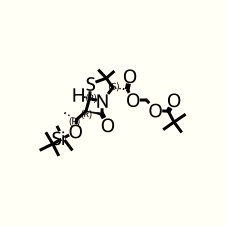 C[C@@H](O[Si](C)(C)C(C)(C)C)[C@@H]1C(=O)N2[C@@H]1SC(C)(C)[C@@H]2C(=O)OCOC(=O)C(C)(C)C